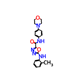 Cc1ccccc1Nc1nnc(C(=O)Nc2ccc(N3CCOCC3)cc2)o1